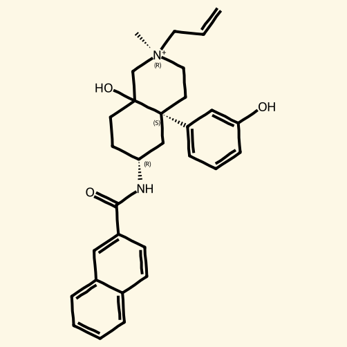 C=CC[N@@+]1(C)CC[C@@]2(c3cccc(O)c3)C[C@H](NC(=O)c3ccc4ccccc4c3)CCC2(O)C1